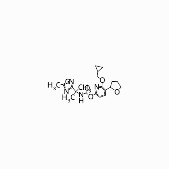 Cc1nc(C(C)(C)NC(=O)Oc2ccc(C3CCCO3)c(OCC3CC3)n2)no1